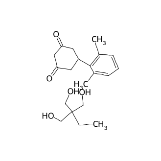 CCC(CO)(CO)CO.Cc1cccc(C)c1C1CC(=O)CC(=O)C1